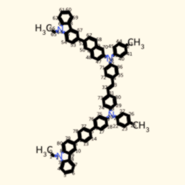 CCn1c2ccccc2c2cc(-c3ccc(-c4ccc(N(c5ccc(C)cc5)c5ccc(/C=C/c6ccc(N(c7ccc(C)cc7)c7ccc8cc(-c9ccc%10c(c9)c9ccccc9n%10CC)ccc8c7)cc6)cc5)cc4)cc3)ccc21